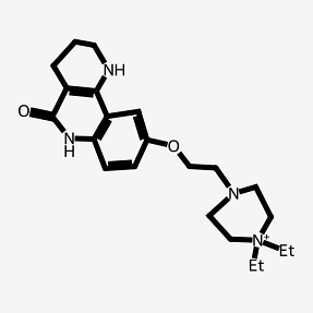 CC[N+]1(CC)CCN(CCOc2ccc3[nH]c(=O)c4c(c3c2)NCCC4)CC1